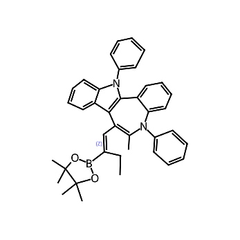 CC/C(=C\C1=C(C)N(c2ccccc2)c2ccccc2-c2c1c1ccccc1n2-c1ccccc1)B1OC(C)(C)C(C)(C)O1